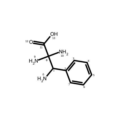 NC(c1ccccc1)C(N)(N)C(=O)O